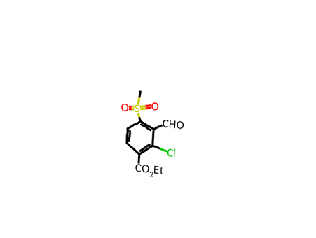 CCOC(=O)c1ccc(S(C)(=O)=O)c(C=O)c1Cl